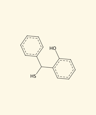 Oc1ccccc1C(S)c1ccccc1